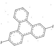 Ic1ccc2c3ccc(I)cc3c3ccccc3c2c1